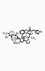 CC[C@H](C)C(C(CC(=O)N1CCC[C@H]1[C@H](OC)[C@@H](C)C(=O)N[C@@H](Cc1ccccc1)C(=O)NCc1c[nH]nn1)OC)N(C)C[C@@](C=O)(NC(=O)[C@H](C(C)C)N(C)C)C(C)C